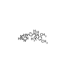 Cc1cc(C)c(NC(=O)Nc2ccc(Nc3ncnc4[nH]ncc34)cc2)c(C)c1